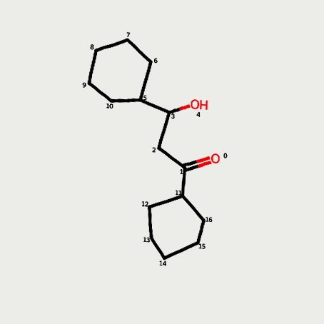 O=C(CC(O)C1CCCCC1)C1CCCCC1